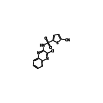 N#Cc1ccc(S(=O)(=O)Nc2nc3ccccc3nc2Cl)s1